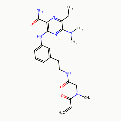 C=CC(=O)N(C)CC(=O)NCCc1cccc(Nc2nc(N(C)C)c(CC)nc2C(N)=O)c1